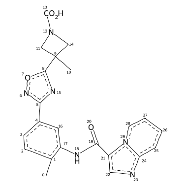 Cc1ccc(-c2noc(C3(C)CN(C(=O)O)C3)n2)cc1NC(=O)c1cnc2ccccn12